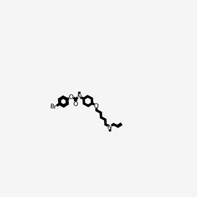 C=CCN(C)CCCCCOC1CCC(N(C)C(=O)Oc2ccc(Br)cc2)CC1